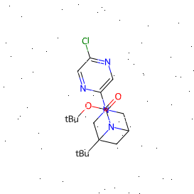 CC(C)(C)OC(=O)N1C2CN(c3cnc(Cl)cn3)CC1(C(C)(C)C)C2